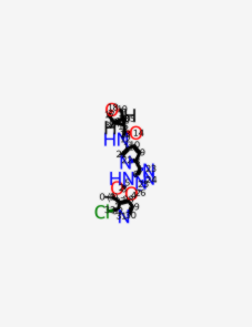 C[C@@H](OC(=O)Nc1c(-c2ccc(NC(=O)C3[C@@H]4COC[C@@H]34)cn2)nnn1C)c1cccnc1Cl